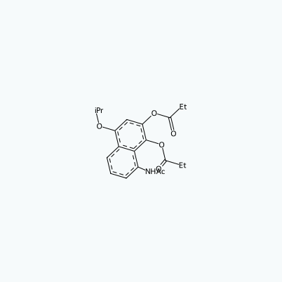 CCC(=O)Oc1cc(OC(C)C)c2cccc(NC(C)=O)c2c1OC(=O)CC